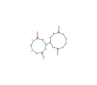 O=C1CCCCC(=O)CC(C2CC(=O)CCCCC(=O)C2)CC1